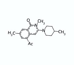 CC(=O)c1cc(C)cc2c(=O)n(C)c(N3CCC(C)CC3)cc12